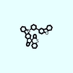 c1cc(-c2ccc3oc4ccccc4c3c2)cc(-n2c3ccccc3c3cc4c(cc32)C2(c3ccccc3Sc3ccccc32)c2ccccc2-4)c1